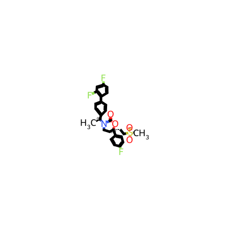 C[C@@H](c1ccc(-c2ccc(F)cc2F)cc1)N1CC[C@](CCS(C)(=O)=O)(c2ccc(F)cc2)OC1=O